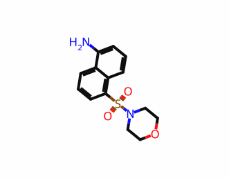 Nc1cccc2c(S(=O)(=O)N3CCOCC3)cccc12